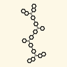 c1ccc(N(c2ccc(-c3ccc(N(c4ccccc4)c4ccc(-c5ccc(N(c6ccc7ccccc7c6)c6ccc7ccccc7c6)cc5)cc4)cc3)cc2)c2ccc(-c3ccc(N(c4ccc5ccccc5c4)c4ccc5ccccc5c4)cc3)cc2)cc1